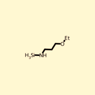 CCOCCCN[SiH3]